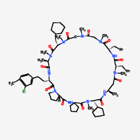 CC(C)C[C@@H]1NC(=O)[C@H](CC(C)C)N(C)C(=O)C[C@@H](C)NC(=O)[C@H](C2CCCC2)N(C)C(=O)C2(CCCC2)NC(=O)[C@@H]2CCCN2C(=O)[C@H](CCc2ccc(C(F)(F)F)c(Cl)c2)NC(=O)[C@@H](C)N(C)C(=O)[C@H](CC2CCCCC2)N(C)C(=O)CN(C)C(=O)CN(C)C1=O